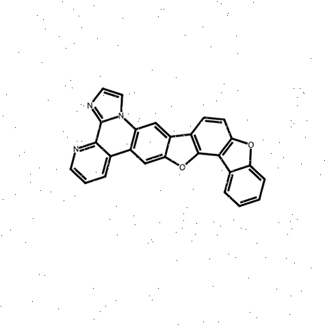 c1ccc2c(c1)oc1ccc3c4cc5c(cc4oc3c12)c1cccnc1c1nccn51